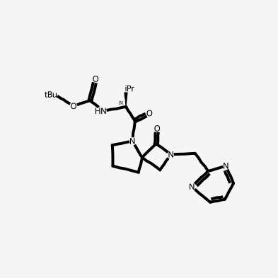 CC(C)[C@H](NC(=O)OC(C)(C)C)C(=O)N1CCCC12CN(Cc1ncccn1)C2=O